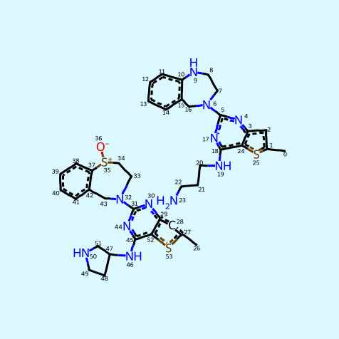 Cc1cc2nc(N3CCNc4ccccc4C3)nc(NCCCN)c2s1.Cc1cc2nc(N3CC[S+]([O-])c4ccccc4C3)nc(NC3CCNC3)c2s1